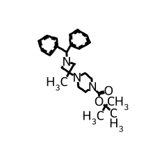 CC(C)(C)OC(=O)N1CCN(C2(C)CN(C(c3ccccc3)c3ccccc3)C2)CC1